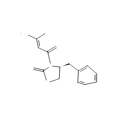 CC(=CC(=O)N1C(=O)OC[C@@H]1Cc1ccccc1)C(F)(F)F